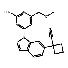 COCc1cc(-n2ncc3ccc(C4(C#N)CCC4)cc32)nc(N)n1